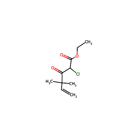 C=CC(C)(C)C(=O)C(Cl)C(=O)OCC